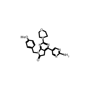 COc1ccc(CN2C(=O)Cc3c(-c4cnc(N)nc4)nc(N4CCOCC4)nc32)cc1